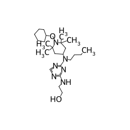 CCCCN(c1ncnc(NCCO)n1)C1CC(C)(C)N(OC2CCCCC2)C(C)(C)C1